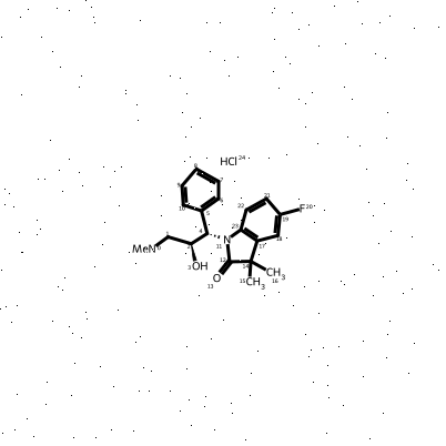 CNC[C@H](O)[C@H](c1ccccc1)N1C(=O)C(C)(C)c2cc(F)ccc21.Cl